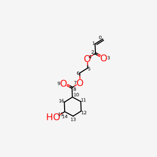 C=CC(=O)OCCOC(=O)C1CCCC(O)C1